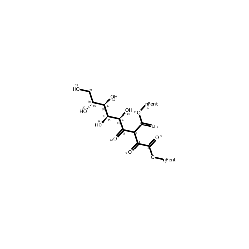 CCCCCOC(=O)C(=O)C(C(=O)OCCCCC)C(=O)[C@H](O)[C@@H](O)[C@H](O)[C@H](O)CO